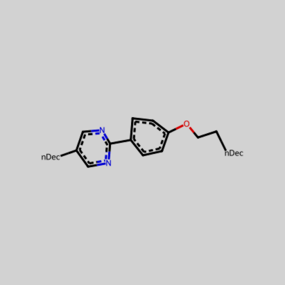 CCCCCCCCCCCCOc1ccc(-c2ncc(CCCCCCCCCC)cn2)cc1